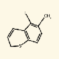 Cc1ccc2c(c1I)C=CCS2